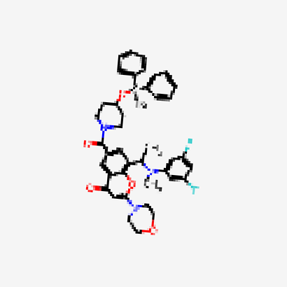 CC(c1cc(C(=O)N2CCC(O[Si](c3ccccc3)(c3ccccc3)C(C)(C)C)CC2)cc2c(=O)cc(N3CCOCC3)oc12)N(C)c1cc(F)cc(F)c1